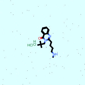 CNCCCCc1nc2ccccc2c(=O)n1CC(C)(C)C.Cl.Cl